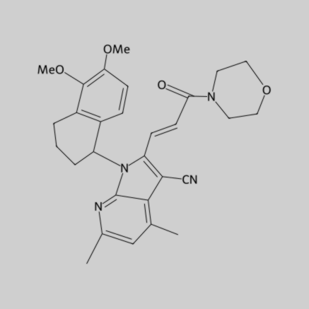 COc1ccc2c(c1OC)CCCC2n1c(/C=C/C(=O)N2CCOCC2)c(C#N)c2c(C)cc(C)nc21